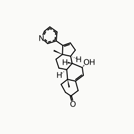 C[C@]12CCC(=O)CC1=C[C@@H](O)[C@@H]1[C@@H]2CC[C@]2(C)C(c3cccnc3)=CC[C@@H]12